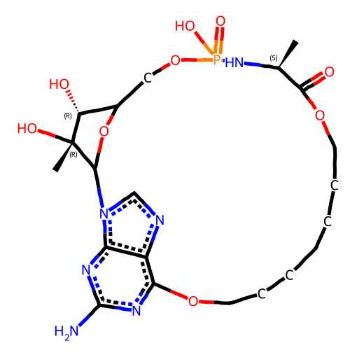 C[C@@H]1NP(=O)(O)OCC2OC(n3cnc4c(nc(N)nc43)OCCCCCCCOC1=O)[C@](C)(O)[C@@H]2O